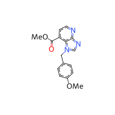 COC(=O)c1ccnc2ncn(Cc3ccc(OC)cc3)c12